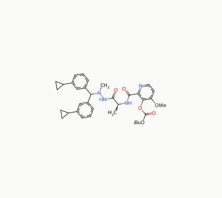 COc1ccnc(C(=O)N[C@@H](C)C(=O)NN(C)C(c2cccc(C3CC3)c2)c2cccc(C3CC3)c2)c1OC(=O)OCC(C)C